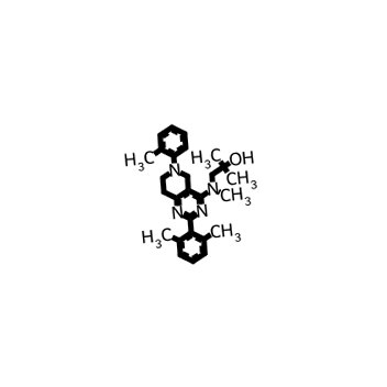 Cc1ccccc1N1CCc2nc(-c3c(C)cccc3C)nc(N(C)CC(C)(C)O)c2C1